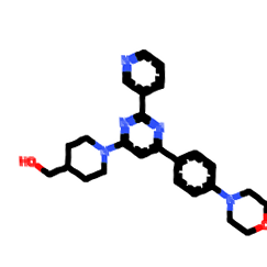 OCC1CCN(c2cc(-c3ccc(N4CCOCC4)cc3)nc(-c3cccnc3)n2)CC1